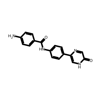 Nc1ccc(C(=O)Nc2ccc(-c3c[nH]c(=O)cn3)cc2)cc1